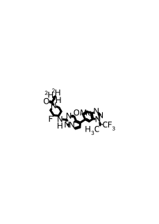 [2H]C([2H])([2H])C(=O)N1CC[C@H](Nc2nc(OC)c3c(-c4ccc5nnn([C@@H](C)C(F)(F)F)c5c4)ccn3n2)[C@H](F)C1